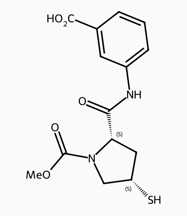 COC(=O)N1C[C@@H](S)C[C@H]1C(=O)Nc1cccc(C(=O)O)c1